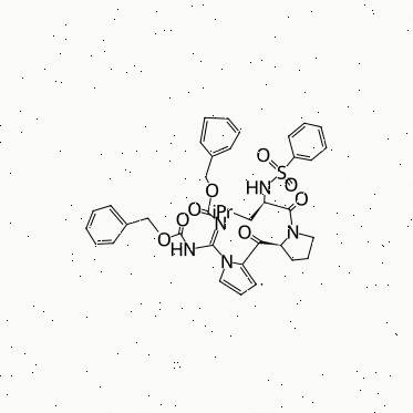 CC(C)C[C@@H](NS(=O)(=O)c1ccccc1)C(=O)N1CCC[C@H]1C(=O)c1[c]ccn1C(=NC(=O)OCc1ccccc1)NC(=O)OCc1ccccc1